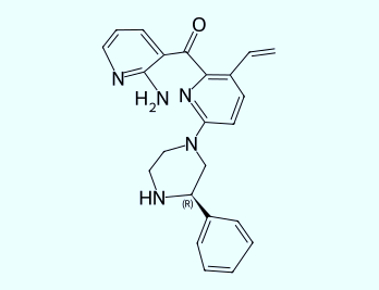 C=Cc1ccc(N2CCN[C@H](c3ccccc3)C2)nc1C(=O)c1cccnc1N